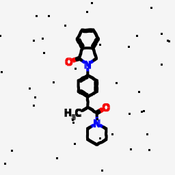 CC(C(=O)N1CCCCC1)c1ccc(N2Cc3ccccc3C2=O)cc1